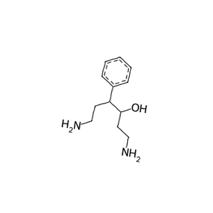 NCCC(O)C(CCN)c1ccccc1